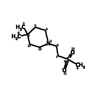 CC1(C)CCN(CCS(C)(=O)=O)CC1